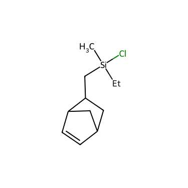 CC[Si](C)(Cl)CC1CC2C=CC1C2